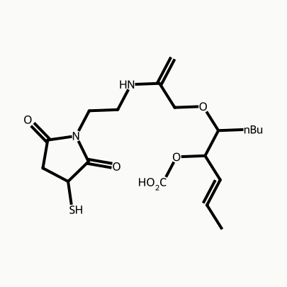 C=C(COC(CCCC)C(/C=C/C)OC(=O)O)NCCN1C(=O)CC(S)C1=O